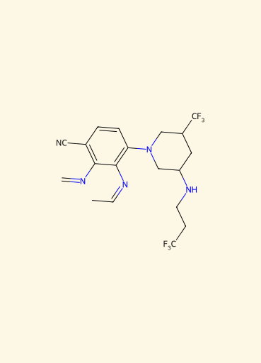 C=Nc1c(C#N)ccc(N2CC(NCCC(F)(F)F)CC(C(F)(F)F)C2)c1/N=C\C